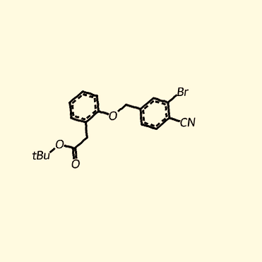 CC(C)(C)OC(=O)Cc1ccccc1OCc1ccc(C#N)c(Br)c1